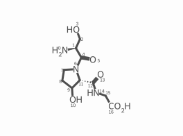 N[C@@H](CO)C(=O)N1CCC(O)[C@H]1C(=O)NCC(=O)O